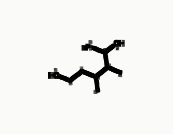 CCCC(O)C(C)C(C)CCO